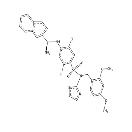 COc1ccc(CN(c2nccs2)S(=O)(=O)c2cc(Cl)c(N[C@@H](N)c3ccc4ccccc4c3)cc2F)c(OC)c1